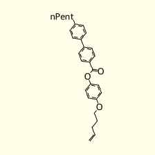 C=CCCCOc1ccc(OC(=O)c2ccc(-c3ccc(CCCCC)cc3)cc2)cc1